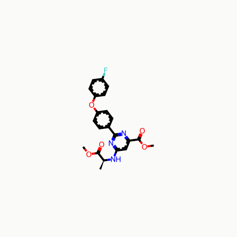 COC(=O)c1cc(N[C@@H](C)C(=O)OC)nc(-c2ccc(Oc3ccc(F)cc3)cc2)n1